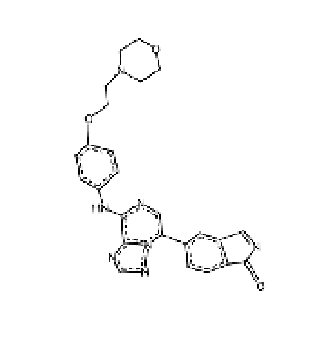 O=C1N=Cc2cc(-c3cnc(Nc4ccc(OCCN5CCOCC5)cc4)c4ncnn34)ccc21